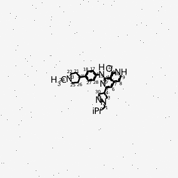 CC(C)CN1CC(c2cc3cc[nH]c(=O)c3c(Nc3ccc(C4CCN(C)CC4)cc3)n2)C=N1